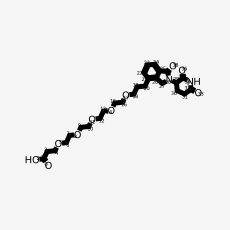 O=C(O)CCOCCOCCOCCOCCOCCCc1cccc2c1CN(C1CCC(=O)NC1=O)C2=O